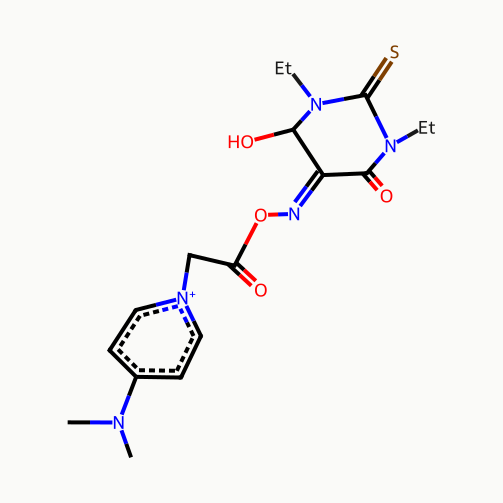 CCN1C(=O)C(=NOC(=O)C[n+]2ccc(N(C)C)cc2)C(O)N(CC)C1=S